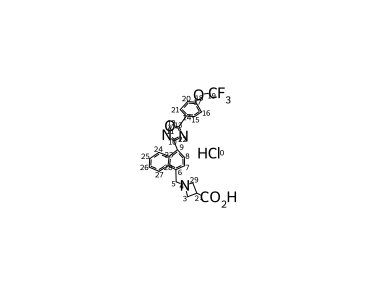 Cl.O=C(O)C1CN(Cc2ccc(-c3noc(-c4ccc(OC(F)(F)F)cc4)n3)c3ccccc23)C1